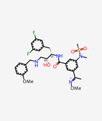 CO/N=C(\C)c1cc(C(=O)N[C@@H](Cc2cc(F)cc(F)c2)[C@H](O)CNCc2cccc(OC)c2)cc(N(C)S(C)(=O)=O)c1